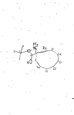 CC(C)(C)OC(=O)C1(N)CCCCCCCC1